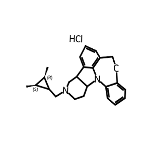 C[C@@H]1C(CN2CCC3C(C2)c2cccc4c2N3c2ccccc2CC4)[C@@H]1C.Cl